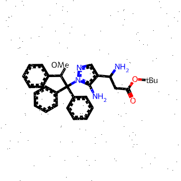 COC(c1ccccc1)C(c1ccccc1)(c1ccccc1)n1ncc(C(N)CC(=O)OC(C)(C)C)c1N